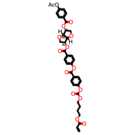 C=CC(=O)OCCCCOC(=O)Oc1ccc(C(=O)Oc2ccc(C(=O)O[C@H]3CO[C@H]4[C@@H]3OC[C@@H]4OC(=O)c3ccc(OC(C)=O)cc3)cc2)cc1